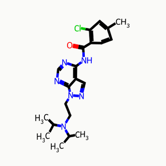 Cc1ccc(C(=O)Nc2ncnc3c2cnn3CCN(C(C)C)C(C)C)c(Cl)c1